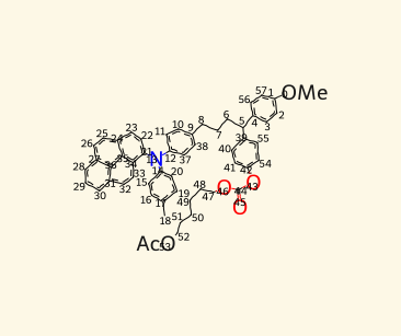 COc1ccc(C(CCCc2ccc(N(c3ccc(C)cc3)c3ccc4ccc5cccc6ccc3c4c56)cc2)c2ccc(OC(=O)OCCCCCCOC(C)=O)cc2)cc1